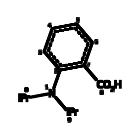 CC(C)N(c1ccccc1C(=O)O)C(C)C